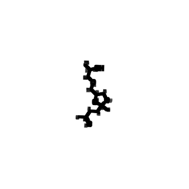 CC(=O)CCC1(C)OCC(COCC(C)O)O1